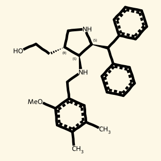 COc1cc(C)c(C)cc1CN[C@H]1[C@H](CCO)CN[C@H]1C(c1ccccc1)c1ccccc1